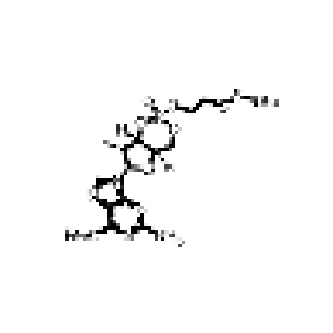 COc1nc(N)nc2c1ncn2[C@@H]1O[C@@H]2CO[P@](=O)(OCCSSC(C)(C)C)O[C@H]2[C@@H]1C